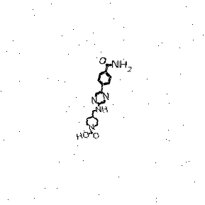 NC(=O)c1ccc(-c2cnc(NCC3CCN(C(=O)O)CC3)cn2)cc1